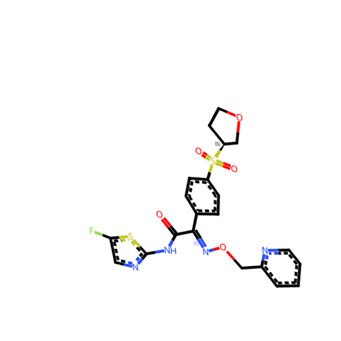 O=C(Nc1ncc(F)s1)/C(=N/OCc1ccccn1)c1ccc(S(=O)(=O)[C@H]2CCOC2)cc1